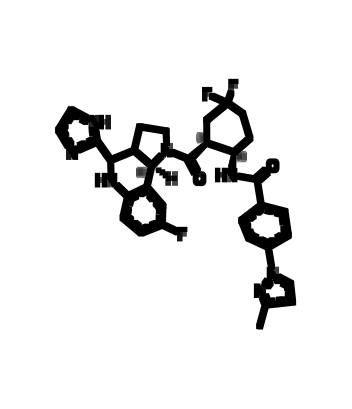 Cc1ccn(-c2ccc(C(=O)N[C@@H]3CCC(F)(F)C[C@@H]3C(=O)N3CCC4C(c5ncc[nH]5)Nc5ccc(F)cc5[C@@H]43)cc2)n1